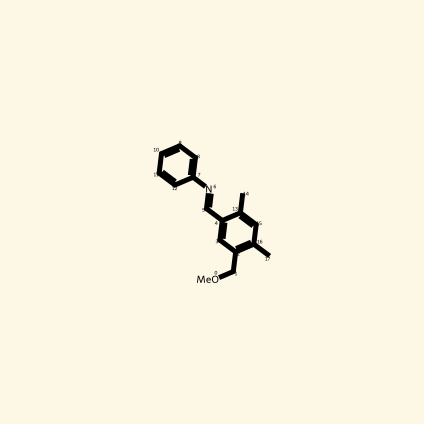 COCc1cc(C=Nc2ccccc2)c(C)cc1C